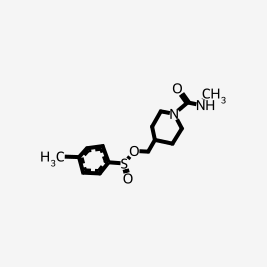 CNC(=O)N1CCC(COS(=O)c2ccc(C)cc2)CC1